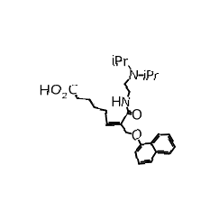 CC(C)N(CCNC(=O)C(=CCCCCC(=O)O)COc1cccc2ccccc12)C(C)C